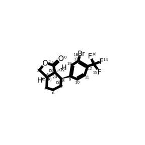 O=C1OC[C@@H]2CCC[C@H](c3ccc(C(F)(F)F)c(Br)c3)[C@H]12